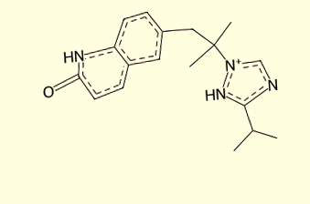 CC(C)c1nc[n+](C(C)(C)Cc2ccc3[nH]c(=O)ccc3c2)[nH]1